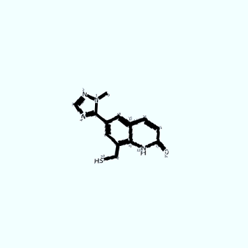 Cn1ncnc1-c1cc(CS)c2[nH]c(=O)ccc2c1